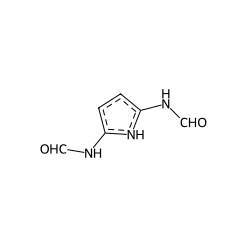 O=CNc1ccc(NC=O)[nH]1